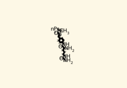 CCCN(C)C(=O)OCc1ccc(NC(=O)[C@@H](N)CCCNC(N)=O)cc1